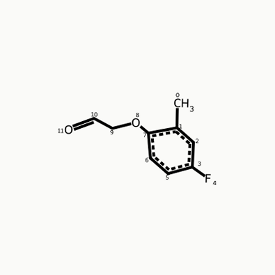 Cc1cc(F)ccc1OCC=O